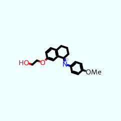 COc1ccc(/N=C2\CCCc3ccc(OCCO)cc32)cc1